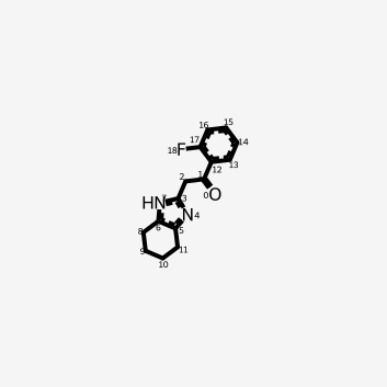 O=C(Cc1nc2c([nH]1)CCCC2)c1ccccc1F